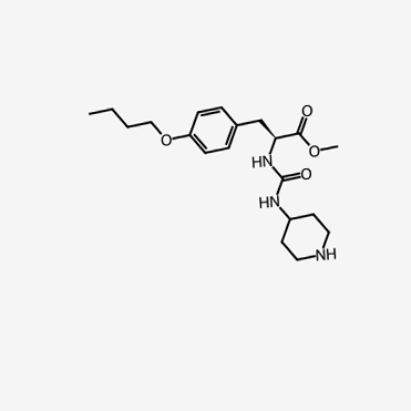 CCCCOc1ccc(C[C@H](NC(=O)NC2CCNCC2)C(=O)OC)cc1